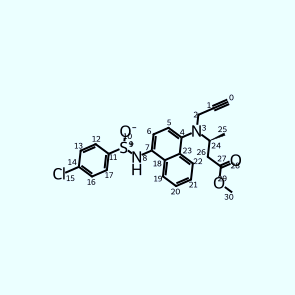 C#CCN(c1ccc(N[S+]([O-])c2ccc(Cl)cc2)c2ccccc12)[C@@H](C)CC(=O)OC